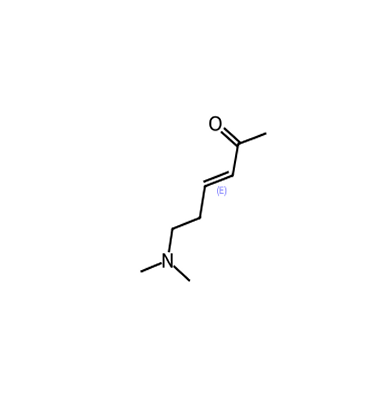 CC(=O)/C=C/CCN(C)C